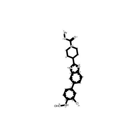 CC(C)OC(=O)N1CCC(c2nc3cc(-c4ccc(NC=O)c(Cl)c4)ccc3o2)CC1